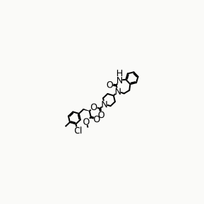 COC(=O)[C@@H](Cc1ccc(C)c(Cl)c1)OC(=O)N1CCC(N2CCc3ccccc3NC2=O)CC1